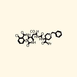 CC(C)C(=O)C1(NC(=O)NC(Cc2c[nH]c(=O)nc2NC(=O)c2c(Cl)cccc2Cl)C(=O)O)CCN(Cc2ccccc2)CC1